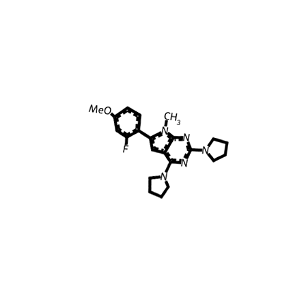 COc1ccc(-c2cc3c(N4CCCC4)nc(N4CCCC4)nc3n2C)c(F)c1